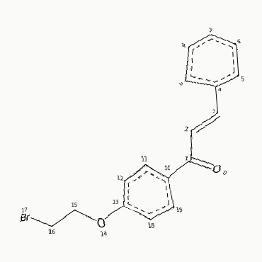 O=C(C=Cc1ccccc1)c1ccc(OCCBr)cc1